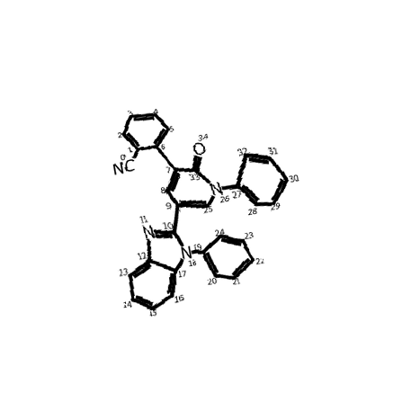 N#Cc1ccccc1-c1cc(-c2nc3ccccc3n2-c2ccccc2)cn(-c2ccccc2)c1=O